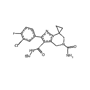 CC(C)(C)NC(=O)c1c(-c2ccc(F)c(Cl)c2)nn2c1CN(C(N)=O)CC21CC1